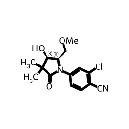 COC[C@@H]1[C@H](O)C(C)(C)C(=O)N1c1ccc(C#N)c(Cl)c1